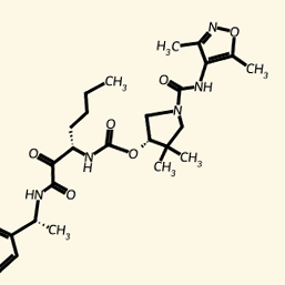 CCCC[C@H](NC(=O)O[C@@H]1CN(C(=O)Nc2c(C)noc2C)CC1(C)C)C(=O)C(=O)N[C@H](C)c1ccccc1